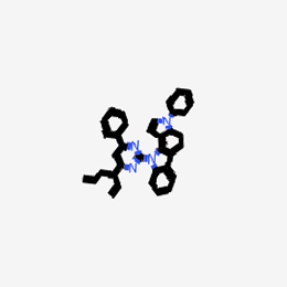 C=C/C=C(\C=C)c1cc(-c2ccccc2)nc(-n2c3ccccc3c3ccc4c(ccn4-c4ccccc4)c32)n1